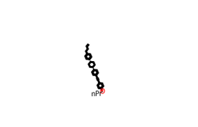 C=CCCc1ccc([C@H]2CC[C@H](c3ccc(C#Cc4ccc(OCCC)cc4)cc3)CC2)cc1